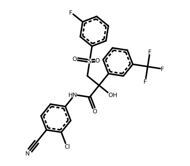 N#Cc1ccc(NC(=O)C(O)(CS(=O)(=O)c2cccc(F)c2)c2cccc(C(F)(F)F)c2)cc1Cl